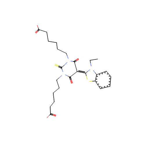 CCN1C(=C2C(=O)N(CCCCCC(=O)O)C(=S)N(CCCCCC(=O)O)C2=O)Sc2ccccc21